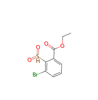 CCOC(=O)c1cccc(Br)c1[SH](=O)=O